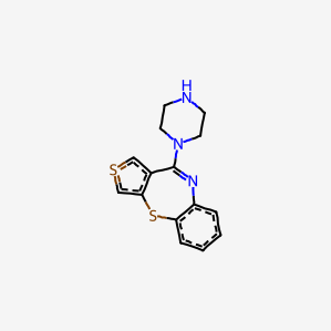 c1ccc2c(c1)N=C(N1CCNCC1)c1cscc1S2